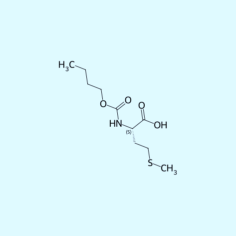 CCCCOC(=O)N[C@@H](CCSC)C(=O)O